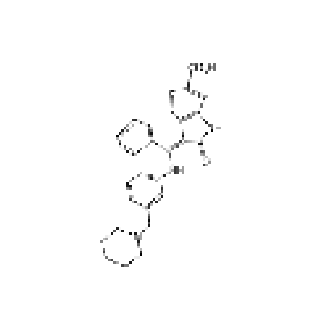 O=C1Nc2cc(C(=O)O)ccc2C1=C(Nc1cccc(CN2CCCCC2)c1)c1ccccc1